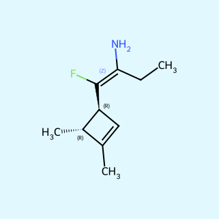 CC/C(N)=C(/F)[C@H]1C=C(C)[C@@H]1C